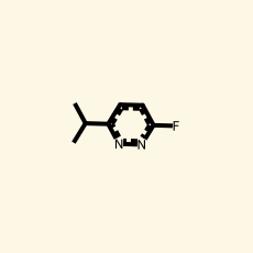 CC(C)c1ccc(F)nn1